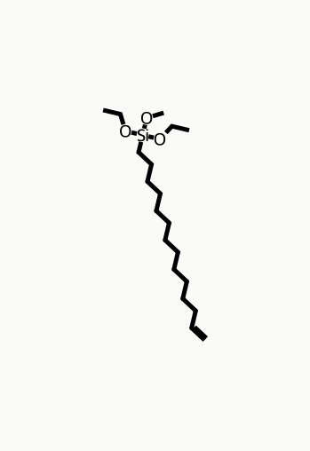 C=CCCCCCCCCCCCC[Si](OC)(OCC)OCC